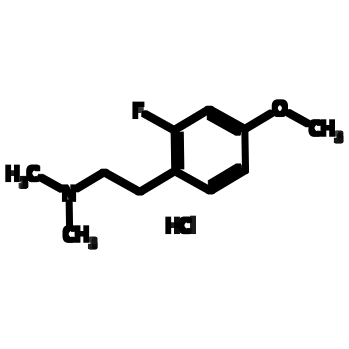 COc1ccc(CCN(C)C)c(F)c1.Cl